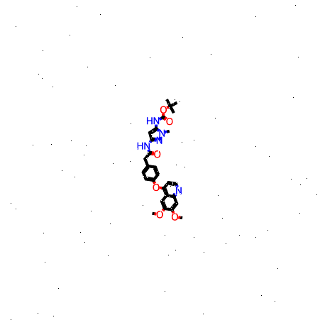 COc1cc2nccc(Oc3ccc(CC(=O)Nc4cc(NC(=O)OC(C)(C)C)n(C)n4)cc3)c2cc1OC